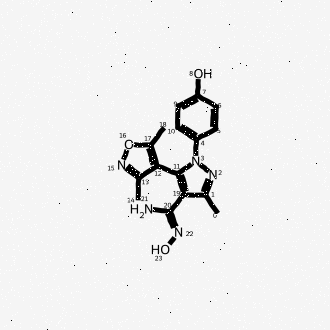 Cc1nn(-c2ccc(O)cc2)c(-c2c(C)noc2C)c1/C(N)=N/O